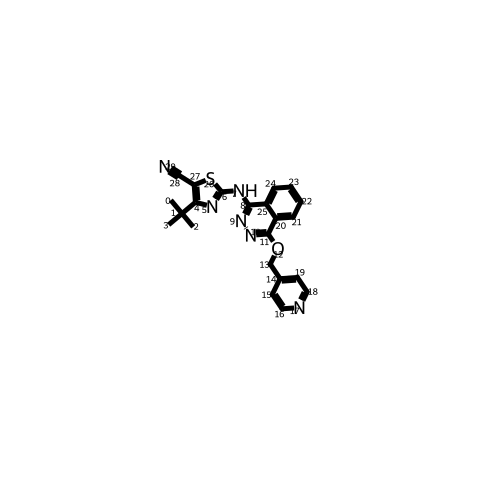 CC(C)(C)c1nc(Nc2nnc(OCc3ccncc3)c3ccccc23)sc1C#N